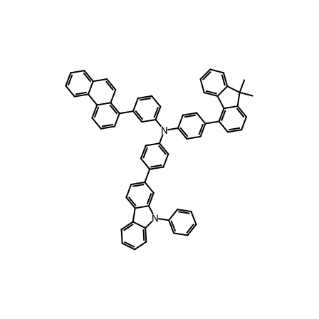 CC1(C)c2ccccc2-c2c(-c3ccc(N(c4ccc(-c5ccc6c7ccccc7n(-c7ccccc7)c6c5)cc4)c4cccc(-c5cccc6c5ccc5ccccc56)c4)cc3)cccc21